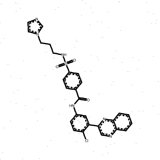 O=C(Nc1ccc(Cl)c(-c2cnc3ccccc3n2)c1)c1ccc(S(=O)(=O)NCCCn2ccnc2)cc1